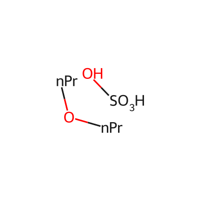 CCCOCCC.O=S(=O)(O)O